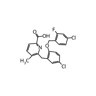 Cc1ccc(C(=O)O)nc1Cc1cc(Cl)ccc1OCc1ccc(Cl)cc1F